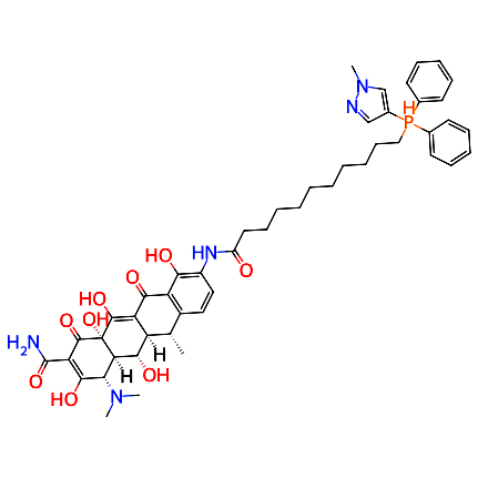 C[C@H]1c2ccc(NC(=O)CCCCCCCCCC[PH](c3ccccc3)(c3ccccc3)c3cnn(C)c3)c(O)c2C(=O)C2=C(O)[C@]3(O)C(=O)C(C(N)=O)=C(O)[C@@H](N(C)C)[C@@H]3[C@@H](O)[C@@H]21